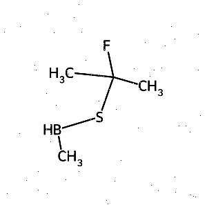 CBSC(C)(C)F